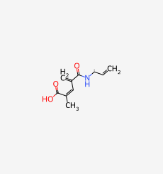 C=C[CH]NC(=O)C(=C)C=C(C)C(=O)O